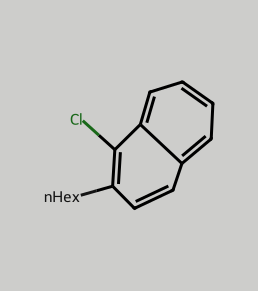 CCCCCCc1ccc2ccccc2c1Cl